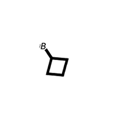 [B]C1CCC1